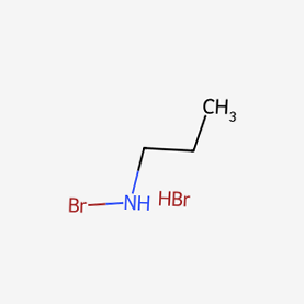 Br.CCCNBr